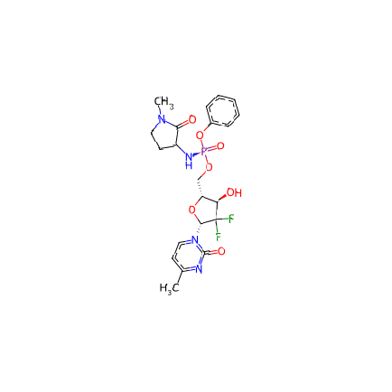 Cc1ccn([C@@H]2O[C@H](CO[P@](=O)(NC3CCN(C)C3=O)Oc3ccccc3)[C@@H](O)C2(F)F)c(=O)n1